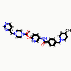 CC1CCN(Cc2ccc(C(=O)Nc3ccc(OC(=O)N4CCN(Cc5ccncn5)CC4)nc3)cc2)CC1